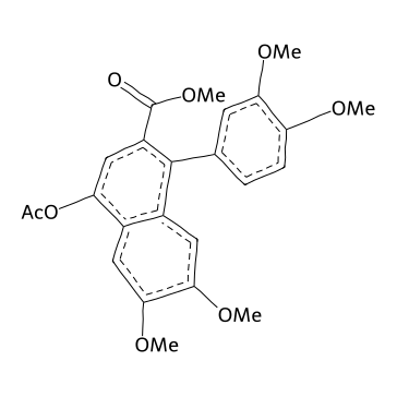 COC(=O)c1cc(OC(C)=O)c2cc(OC)c(OC)cc2c1-c1ccc(OC)c(OC)c1